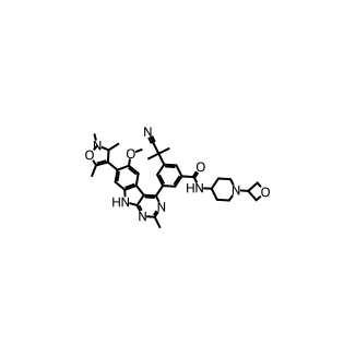 COc1cc2c(cc1C1=C(C)ON(C)C1C)[nH]c1nc(C)nc(-c3cc(C(=O)NC4CCN(C5COC5)CC4)cc(C(C)(C)C#N)c3)c12